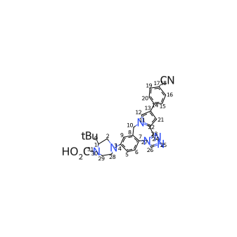 CC(C)(C)C1CN(c2ccc3c(c2)Cn2cc(-c4ccc(C#N)cc4)cc2-c2nncn2-3)CCN1C(=O)O